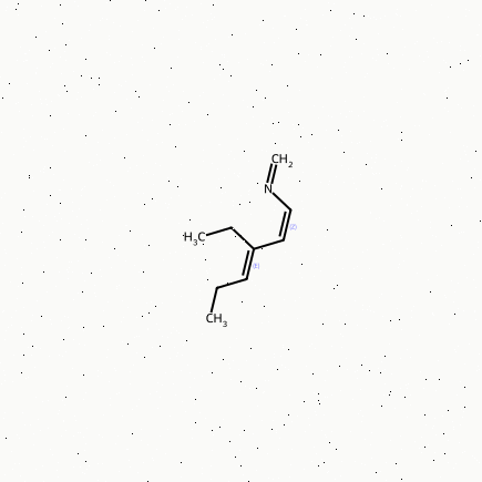 C=N/C=C\C(=C\CC)CC